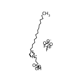 CCCCCCCCCCCCCCCCn1cc[n+](CCCS(=O)(=O)O)c1.O=S(=O)([O-])C(F)(F)F